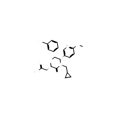 COc1ccc([C@@H]2[C@@H](c3cccc(Cl)c3)O[C@H](CC(=O)O)C(=O)N2CC2CC2)cn1